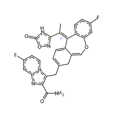 C/C(=C1/C2=CC=C(Cc3c(C(N)=O)nc4cc(F)ccn34)CC2=COc2cc(F)ccc21)c1noc(=O)[nH]1